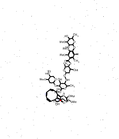 CCNC1COC(OC2C(O[C@@]3(O)C#C/C=C\C#C[C@]4(O)CC(=O)C(NC(=O)OC)=C3/C4=C\CSSSC)OC(C)C(NOC3CC(O)C(SC(=O)c4c(C)c(I)c(OC5OC(C)C(O)C(OC)C5O)c(OC)c4OC)C(C)O3)C2O)CC1OC